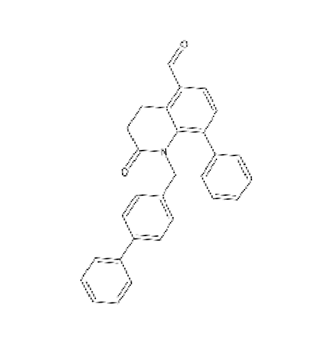 O=Cc1ccc(-c2ccccc2)c2c1CCC(=O)N2Cc1ccc(-c2ccccc2)cc1